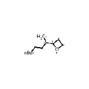 CCCCCCC(C)C1CCO1